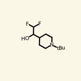 CC(C)(C)N1CCC(C(O)C(F)F)CC1